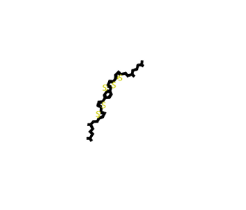 CC(C)CCCC(C)CCc1ccc(-c2ccc(-c3ccc4c(c3)sc3cc(-c5ccc(CCC(C)CCCC(C)C)s5)sc34)s2)s1